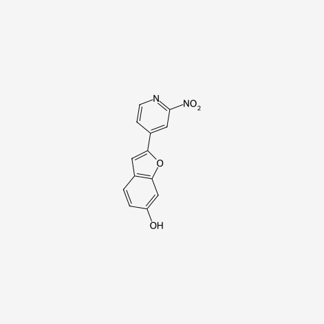 O=[N+]([O-])c1cc(-c2cc3ccc(O)cc3o2)ccn1